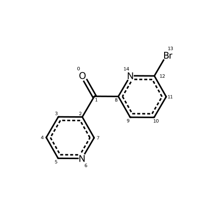 O=C(c1cccnc1)c1cccc(Br)n1